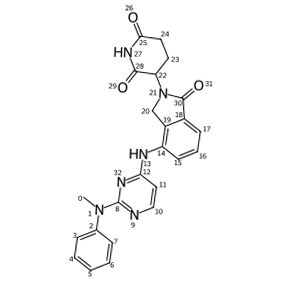 CN(c1ccccc1)c1nccc(Nc2cccc3c2CN(C2CCC(=O)NC2=O)C3=O)n1